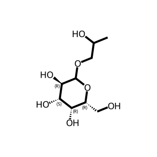 CC(O)COC1O[C@H](CO)[C@H](O)[C@H](O)[C@H]1O